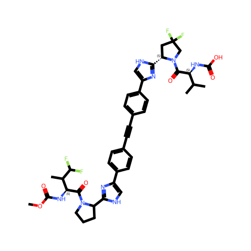 COC(=O)N[C@H](C(=O)N1CCCC1c1nc(-c2ccc(C#Cc3ccc(-c4c[nH]c([C@@H]5CC(F)(F)CN5C(=O)[C@@H](NC(=O)O)C(C)C)n4)cc3)cc2)c[nH]1)C(C)C(F)F